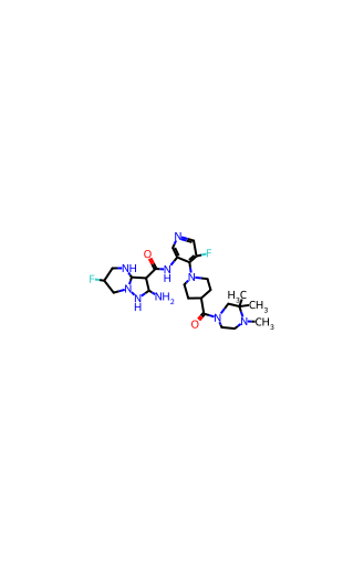 CN1CCN(C(=O)C2CCN(c3c(F)cncc3NC(=O)C3C(N)NN4CC(F)CNC34)CC2)CC1(C)C